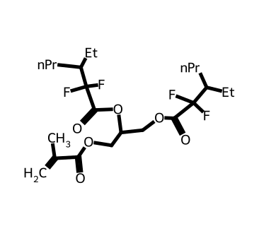 C=C(C)C(=O)OCC(COC(=O)C(F)(F)C(CC)CCC)OC(=O)C(F)(F)C(CC)CCC